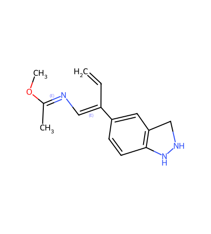 C=C/C(=C\N=C(/C)OC)c1ccc2c(c1)CNN2